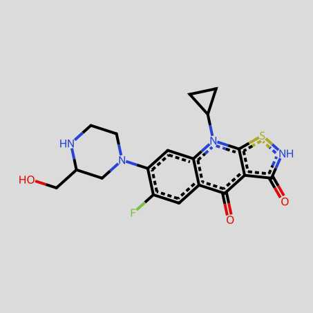 O=c1[nH]sc2c1c(=O)c1cc(F)c(N3CCNC(CO)C3)cc1n2C1CC1